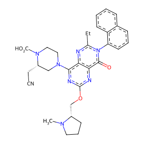 CCc1nc2c(N3CCN(C(=O)O)[C@@H](CC#N)C3)nc(OC[C@@H]3CCCN3C)nc2c(=O)n1-c1cccc2ccccc12